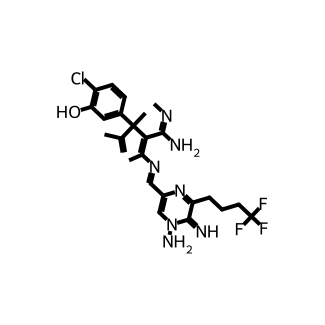 C=C(C)C(C)(C(=C(C)/N=C/c1cn(N)c(=N)c(CCCC(F)(F)F)n1)/C(N)=N\C)c1ccc(Cl)c(O)c1